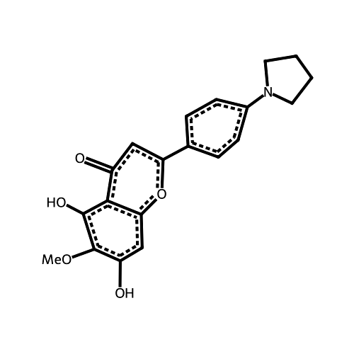 COc1c(O)cc2oc(-c3ccc(N4CCCC4)cc3)cc(=O)c2c1O